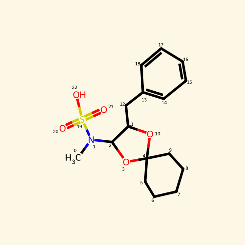 CN(C1OC2(CCCCC2)OC1Cc1ccccc1)S(=O)(=O)O